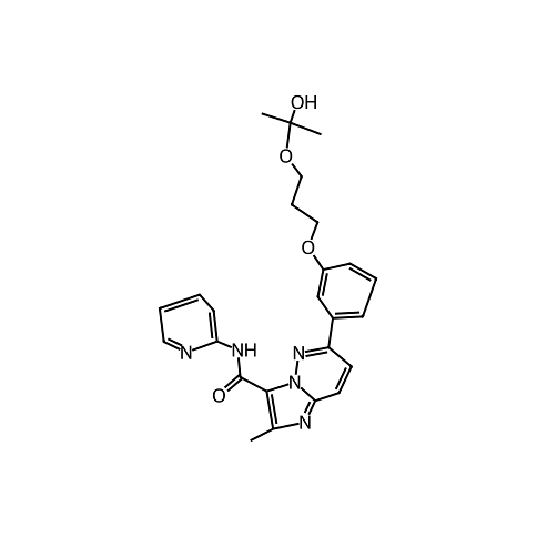 Cc1nc2ccc(-c3cccc(OCCCOC(C)(C)O)c3)nn2c1C(=O)Nc1ccccn1